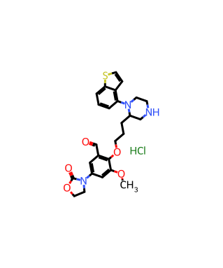 COc1cc(N2CCOC2=O)cc(C=O)c1OCCCC1CNCCN1c1cccc2sccc12.Cl